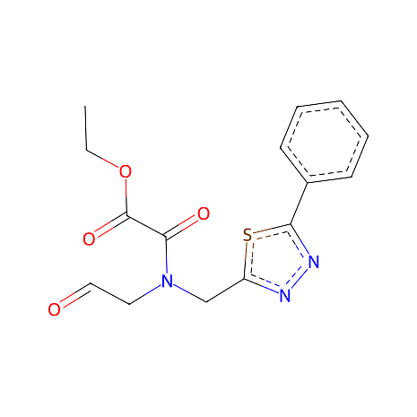 CCOC(=O)C(=O)N(CC=O)Cc1nnc(-c2ccccc2)s1